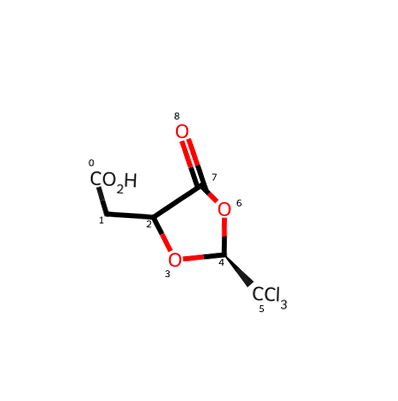 O=C(O)CC1O[C@H](C(Cl)(Cl)Cl)OC1=O